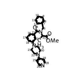 COC(=O)C(C)N(Cc1ccccc1)C(=O)c1cccc(N2CCN(c3ccncc3)CC2)c1